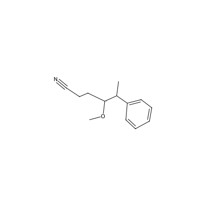 CO[C](CCC#N)C(C)c1ccccc1